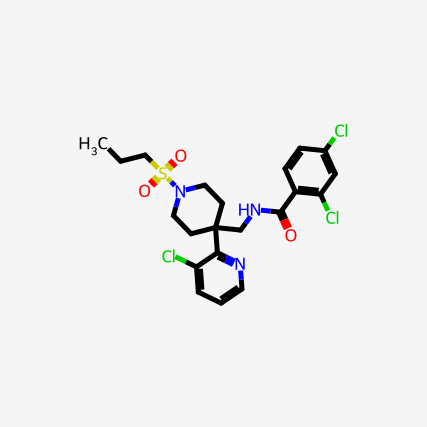 CCCS(=O)(=O)N1CCC(CNC(=O)c2ccc(Cl)cc2Cl)(c2ncccc2Cl)CC1